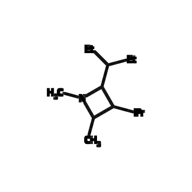 CCC(CC)C1C(C(C)C)C(C)N1C